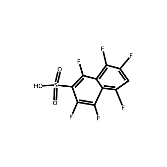 O=S(=O)(O)c1c(F)c(F)c2c(F)cc(F)c(F)c2c1F